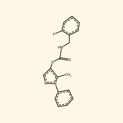 Cc1c(OC(=O)NCc2ccccc2F)cnn1-c1ccccc1